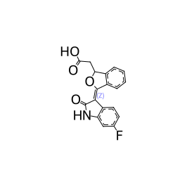 O=C(O)CC1O/C(=C2\C(=O)Nc3cc(F)ccc32)c2ccccc21